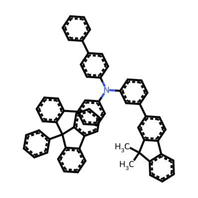 CC1(C)c2ccccc2-c2ccc(-c3cccc(N(c4ccc(-c5ccccc5)cc4)c4cccc(-c5ccccc5C5(c6ccccc6)c6ccccc6-c6ccccc65)c4)c3)cc21